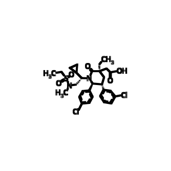 CC[C@]1(CC(=O)O)C[C@H](c2cccc(Cl)c2)[C@@H](c2ccc(Cl)cc2)N([C@H](CN(C)S(=O)(=O)CC)C2CC2)C1=O